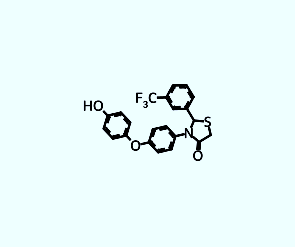 O=C1CSC(c2cccc(C(F)(F)F)c2)N1c1ccc(Oc2ccc(O)cc2)cc1